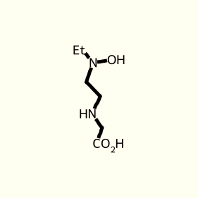 CCN(O)CCNCC(=O)O